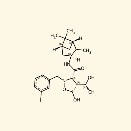 CC1[C@@H](NC(=O)[C@@H]2[C@H]([C@H](C)O)C(O)ON2Cc2cccc(I)c2)C[C@H]2C[C@@H]1C2(C)C